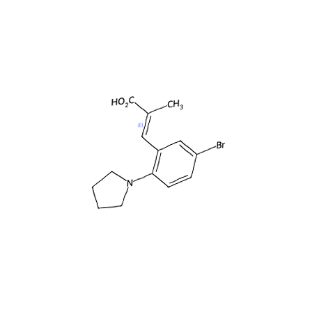 C/C(=C\c1cc(Br)ccc1N1CCCC1)C(=O)O